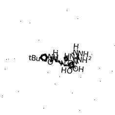 CC(C)(C)C1CCC(NC(=O)NCCCN(C[C@H]2O[C@@H](N3CNC4C(N)NCNC43)[C@H](O)[C@@H]2O)C2CCC2)CC1